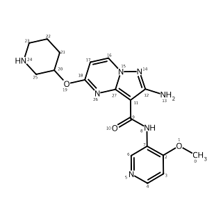 COc1ccncc1NC(=O)c1c(N)nn2ccc(OC3CCCNC3)nc12